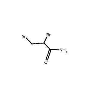 NC(=O)C(Br)CBr